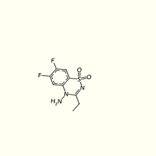 CCC1=NS(=O)(=O)c2cc(F)c(F)cc2N1N